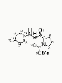 COC(=O)N1CCCC1C(=O)NNc1ccc(C)cc1